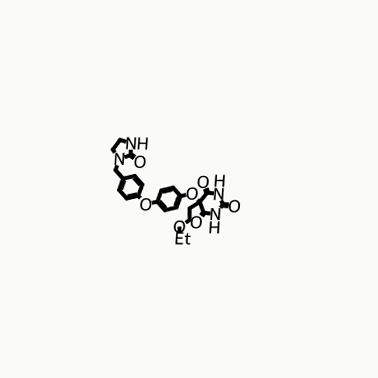 CCOCCC1(Oc2ccc(Oc3ccc(CN4CCNC4=O)cc3)cc2)C(=O)NC(=O)NC1=O